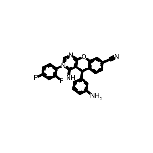 N#Cc1ccc2c(c1)Oc1ncn(-c3ccc(F)cc3F)c(=N)c1C2c1cccc(N)c1